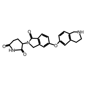 O=C1CCC(N2Cc3cc(Oc4ccc5c(c4)CCNC5)ccc3C2=O)C(=O)N1